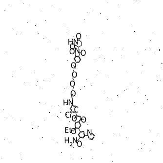 CCOc1cc2oc(-c3ccc(NCCOCCOCCOCCOc4ccc5c(c4)C(=O)N(C4CCC(=O)NC4=O)C5=O)cc3Cl)cc(=O)c2cc1-c1cc(C(N)=O)cc(-c2ccccn2)c1